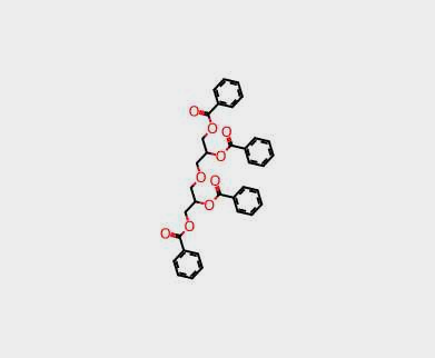 O=C(OCC(COCC(COC(=O)c1ccccc1)OC(=O)c1ccccc1)OC(=O)c1ccccc1)c1ccccc1